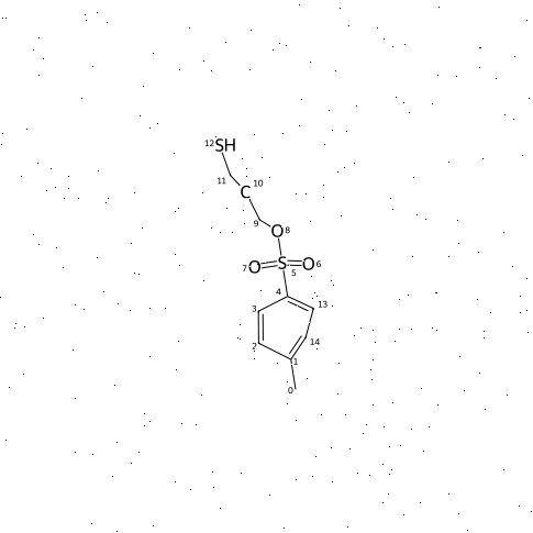 Cc1ccc(S(=O)(=O)OCCCS)cc1